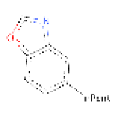 CCCCCc1ccc2ocnc2c1